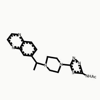 CC(=O)Nc1nnc(N2CCN(C(C)c3ccc4nccnc4c3)CC2)s1